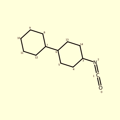 O=C=NC1CCC(C2CCCCC2)CC1